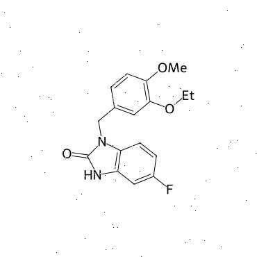 CCOc1cc(Cn2c(=O)[nH]c3cc(F)ccc32)ccc1OC